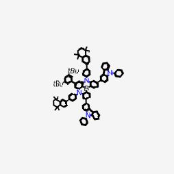 CC(C)(C)c1cc(-c2cc3c4c(c2)N(c2ccc(-c5ccc6c(c5)C(C)(C)CCC6(C)C)cc2)c2cc(-c5ccc6c(c5)c5ccccc5n6-c5ccccc5)ccc2B4c2ccc(-c4ccc5c(c4)c4ccccc4n5-c4ccccc4)cc2N3c2ccc(-c3ccc4c(c3)C(C)(C)CCC4(C)C)cc2)cc(C(C)(C)C)c1